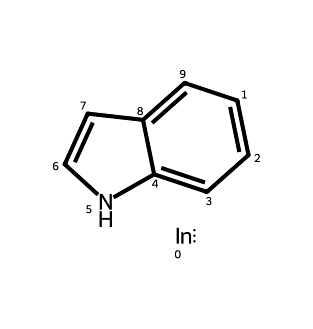 [In].c1ccc2[nH]ccc2c1